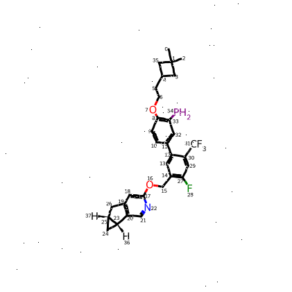 CC1(C)CC(CCOc2ccc(-c3cc(COc4cc5c(cn4)[C@@H]4C[C@@H]4C5)c(F)cc3C(F)(F)F)cc2P)C1